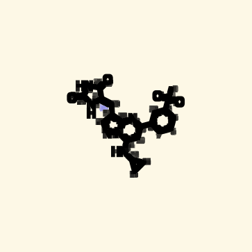 CS(=O)(=O)c1cccc(-c2cc(NC3CC3)n3ncc(/C=C4\NC(=O)NC4=O)c3n2)c1